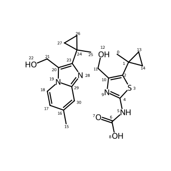 CC1(c2sc(NC(=O)O)nc2CO)CC1.Cc1ccn2c(CO)c(C3(C)CC3)nc2c1